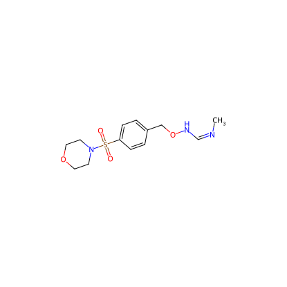 C/N=C\NOCc1ccc(S(=O)(=O)N2CCOCC2)cc1